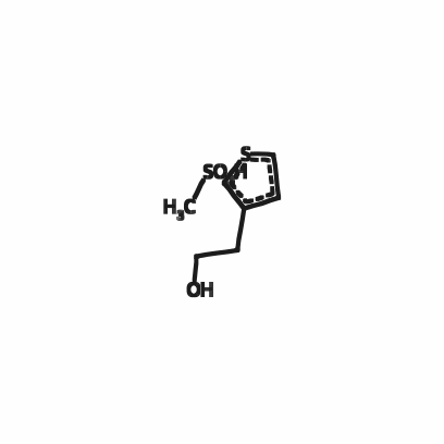 CS(=O)(=O)O.OCCc1ccsc1